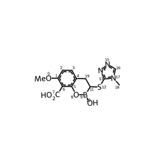 COc1ccc2c(c1C(=O)O)OB(O)C(Sc1nncn1C)C2